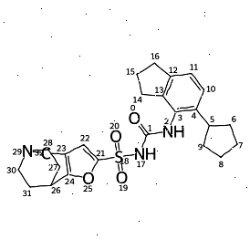 O=C(Nc1c(C2CCCC2)ccc2c1CCC2)NS(=O)(=O)c1cc2c(o1)C1CCN(CC1)C2